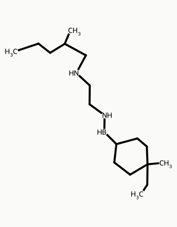 CCCC(C)CNCCNBC1CCC(C)(CC)CC1